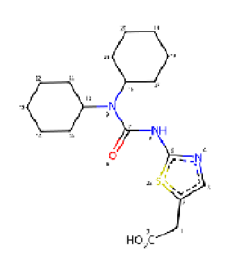 O=C(O)Cc1cnc(NC(=O)N(C2CCCCC2)C2CCCCC2)s1